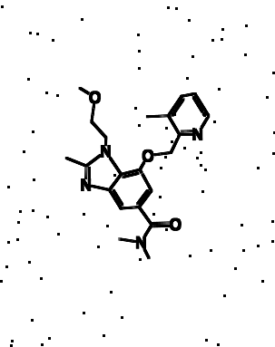 COCCn1c(C)nc2cc(C(=O)N(C)C)cc(OCc3ncccc3C)c21